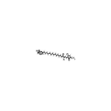 CC1CC(=O)N(CCNC(=O)CCCCCCCCCCCCCC/C=C/P(=O)(O)O)C1=O